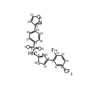 O=S(=O)(Nc1nc(-c2cc(C(F)(F)F)ccc2F)cs1)c1ccc(-c2ccon2)cc1